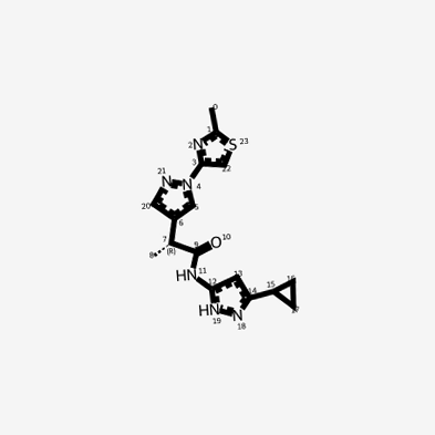 Cc1nc(-n2cc([C@@H](C)C(=O)Nc3cc(C4CC4)n[nH]3)cn2)cs1